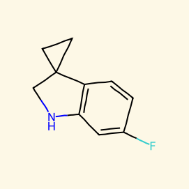 Fc1ccc2c(c1)NCC21CC1